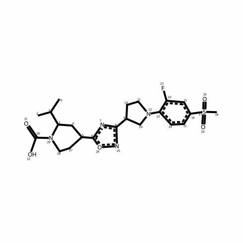 CC(C)C1CC(c2nc(C3CCN(c4ccc(S(C)(=O)=O)cc4F)C3)no2)CCN1C(=O)O